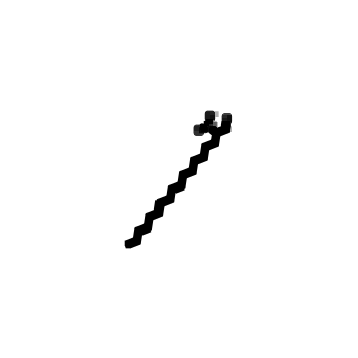 CC/C=C/C/C=C/C/C=C/CCCCCCC([C]=O)[N+](=O)[O-]